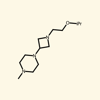 CC(C)OCCN1CC(N2CCN(C)CC2)C1